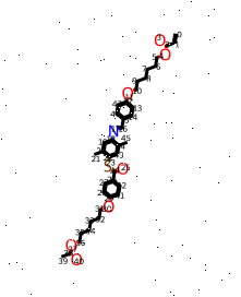 C=CC(=O)OCCCCCCOc1ccc(/C=N/c2cc(C)c(SC(=O)c3ccc(OCCCCCCOC(C)=O)cc3)cc2C)cc1